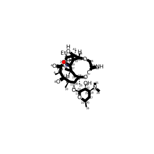 CC[C@H]1OC(=O)[C@H](C)C(=O)[C@H](C)[C@@H](O[C@@H]2O[C@H](C)C[C@H](N(C)C)[C@H]2O)[C@@]2(C)C[C@@H](C)/C(=N\C(C)=O)[C@H](C)[C@@H](OCC(=N)CO2)[C@]1(C)O